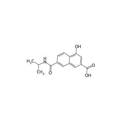 CC(C)NC(=O)c1ccc2c(O)cc(C(=O)O)cc2c1